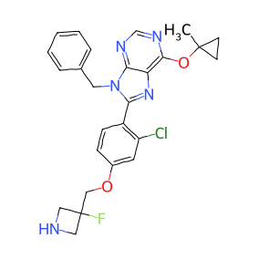 CC1(Oc2ncnc3c2nc(-c2ccc(OCC4(F)CNC4)cc2Cl)n3Cc2ccccc2)CC1